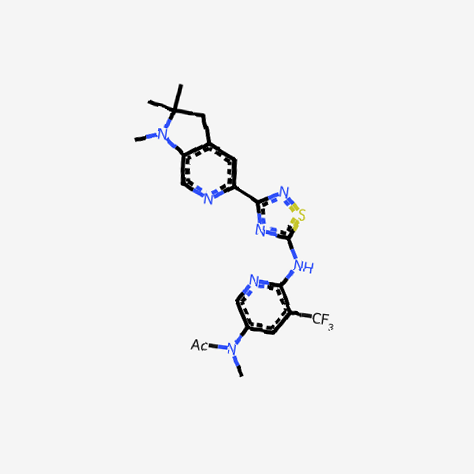 CC(=O)N(C)c1cnc(Nc2nc(-c3cc4c(cn3)N(C)C(C)(C)C4)ns2)c(C(F)(F)F)c1